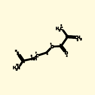 C=C(C)C(=O)OCCNC(N)=S